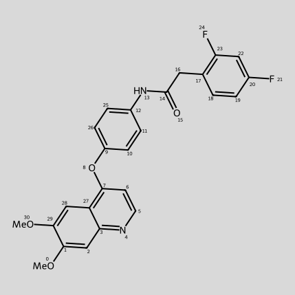 COc1cc2nccc(Oc3ccc(NC(=O)Cc4ccc(F)cc4F)cc3)c2cc1OC